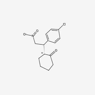 O=C1CCCC[C@@H]1C(C[N+](=O)[O-])c1ccc(Cl)cc1